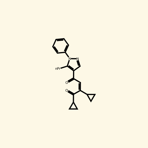 CCCc1c(C(=O)/C=C(\C(=O)C2CC2)C2CC2)cnn1-c1ccccc1